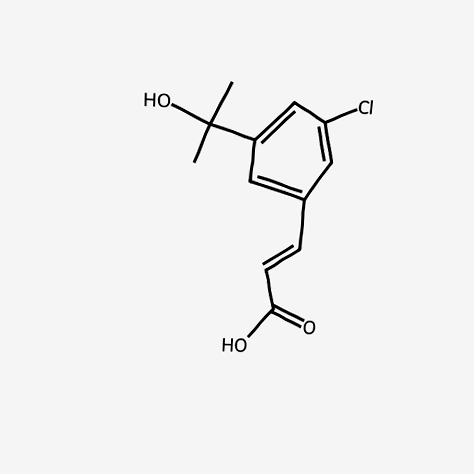 CC(C)(O)c1cc(Cl)cc(/C=C/C(=O)O)c1